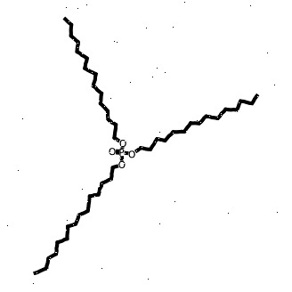 CCCCCCCCCCCCCCCOP(=O)(OCCCCCCCCCCCCCCC)OCCCCCCCCCCCCCCC